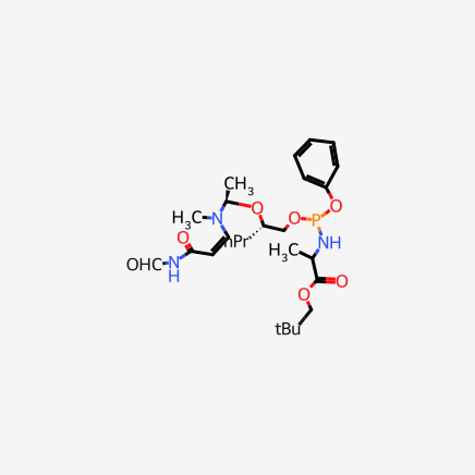 CCC[C@@H](COP(NC(C)C(=O)OCC(C)(C)C)Oc1ccccc1)O[C@H](C)N(C)/C=C\C(=O)NC=O